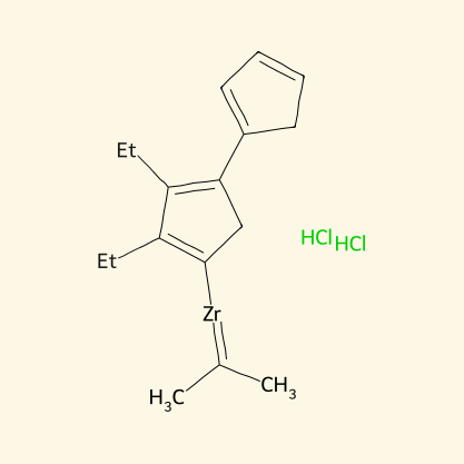 CCC1=[C]([Zr]=[C](C)C)CC(C2=CC=CC2)=C1CC.Cl.Cl